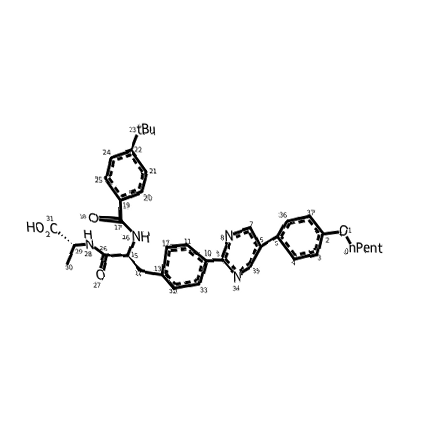 CCCCCOc1ccc(-c2cnc(-c3ccc(C[C@H](NC(=O)c4ccc(C(C)(C)C)cc4)C(=O)N[C@H](C)C(=O)O)cc3)nc2)cc1